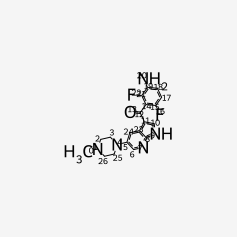 CN1CCN(c2cnc3[nH]cc(C(=O)c4c(F)ccc(N)c4F)c3c2)CC1